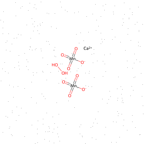 OO.[Ca+2].[O]=[Mn](=[O])(=[O])[O-].[O]=[Mn](=[O])(=[O])[O-]